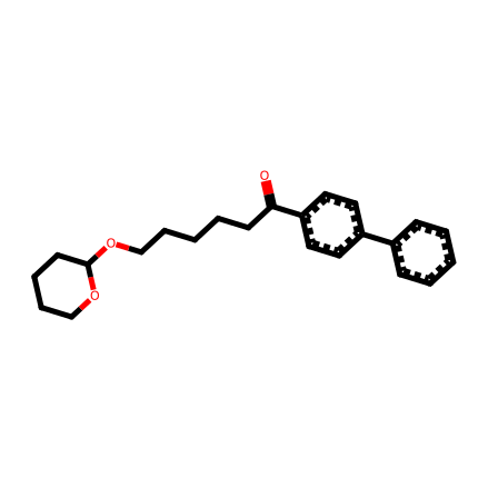 O=C(CCCCCOC1CCCCO1)c1ccc(-c2ccccc2)cc1